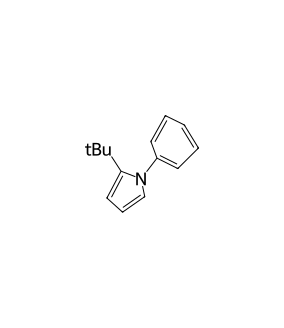 CC(C)(C)c1cccn1-c1ccccc1